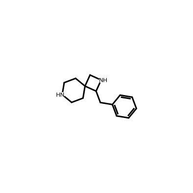 c1ccc(CC2NCC23CCNCC3)cc1